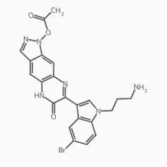 CC(=O)On1ncc2cc3[nH]c(=O)c(-c4cn(CCCN)c5ccc(Br)cc45)nc3cc21